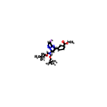 CCOC(=O)C1CCCC(c2cc(N(COCC[Si](C)(C)C)COCC[Si](C)(C)C)n3ncc(I)c3n2)C1